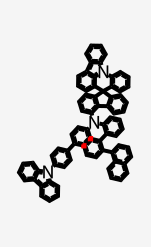 c1ccc(-c2cccc3ccccc23)c(-c2ccccc2N(c2ccc(-c3ccc(-n4c5ccccc5c5ccccc54)cc3)cc2)c2cccc3c2-c2ccccc2C32c3ccccc3-n3c4ccccc4c4cccc2c43)c1